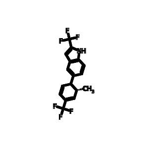 C[C@@H]1C=C(C(F)(F)F)C=CC1c1ccc2[nH]c(C(F)(F)F)cc2c1